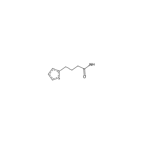 [NH]C(=O)CCCc1cccs1